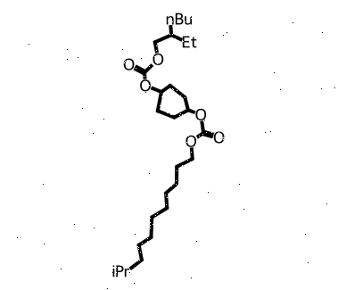 CCCCC(CC)COC(=O)OC1CCC(OC(=O)OCCCCCCCCCC(C)C)CC1